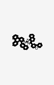 c1ccc2c(c1)ccc1c(-c3ccc4oc5ccccc5c4c3)nc(-n3c4ccc5c6ccccc6c6ccccc6c5c4c4ccc5ccccc5c43)nc12